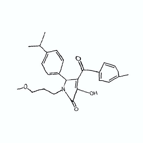 COCCCN1C(=O)C(O)=C(C(=O)c2ccc(C)cc2)C1c1ccc(C(C)C)cc1